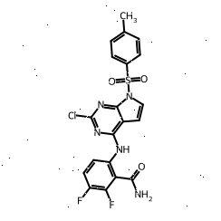 Cc1ccc(S(=O)(=O)n2ccc3c(Nc4ccc(F)c(F)c4C(N)=O)nc(Cl)nc32)cc1